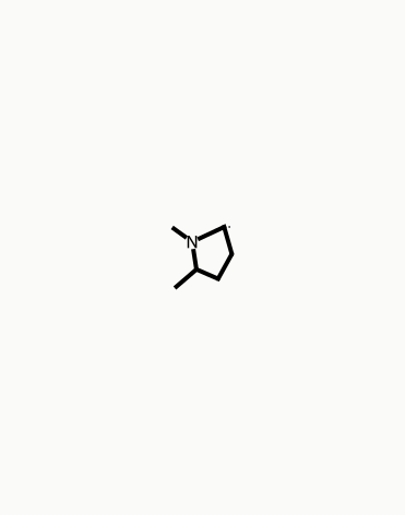 CC1CC[CH]N1C